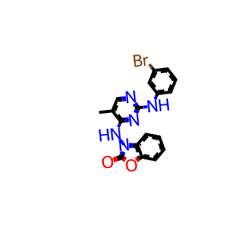 Cc1cnc(Nc2cccc(Br)c2)nc1Nn1c(=O)oc2ccccc21